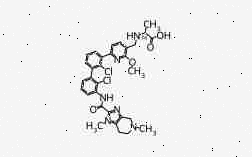 COc1nc(-c2cccc(-c3cccc(NC(=O)c4nc5c(n4C)CCN(C)C5)c3Cl)c2Cl)ccc1CN[C@@H](C)C(=O)O